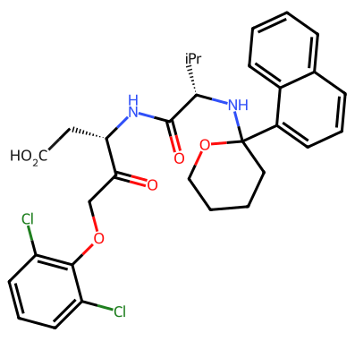 CC(C)[C@H](NC1(c2cccc3ccccc23)CCCCO1)C(=O)N[C@@H](CC(=O)O)C(=O)COc1c(Cl)cccc1Cl